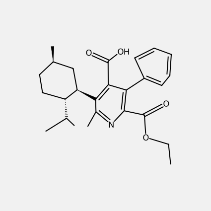 CCOC(=O)c1nc(C)c([C@@H]2C[C@H](C)CC[C@H]2C(C)C)c(C(=O)O)c1-c1ccccc1